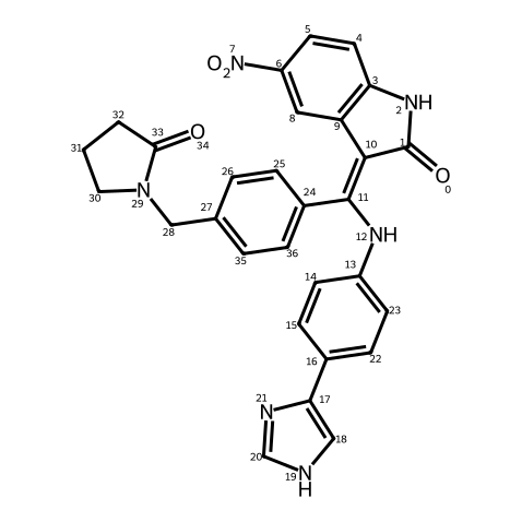 O=C1Nc2ccc([N+](=O)[O-])cc2C1=C(Nc1ccc(-c2c[nH]cn2)cc1)c1ccc(CN2CCCC2=O)cc1